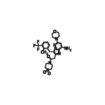 Cc1c(Cc2c(CC(=O)N3CCS(=O)(=O)CC3)nc3c(N)cc(N4CCOCC4)nn23)cccc1C(F)(F)F